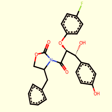 O=C1OCC(Cc2ccccc2)N1C(=O)[C@@H](Oc1ccc(F)cc1)[C@H](O)c1ccc(O)cc1